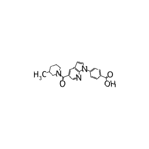 CC1CCCN(C(=O)c2cnc3c(ccn3-c3ccc(C(=O)O)cc3)c2)C1